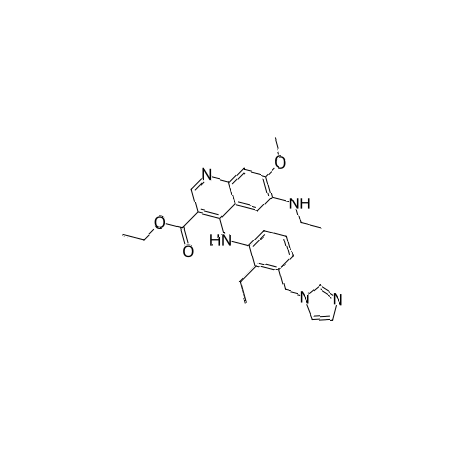 CCNc1cc2c(Nc3cccc(Cn4ccnc4)c3CC)c(C(=O)OCC)cnc2cc1OC